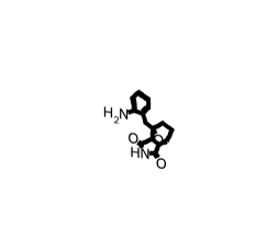 Nc1ccccc1CC12CCC(O1)C1C(=O)NC(=O)C12